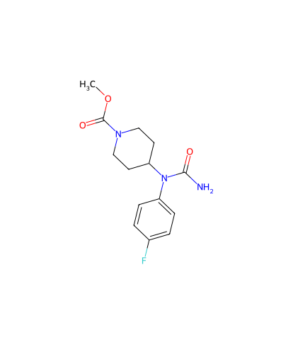 COC(=O)N1CCC(N(C(N)=O)c2ccc(F)cc2)CC1